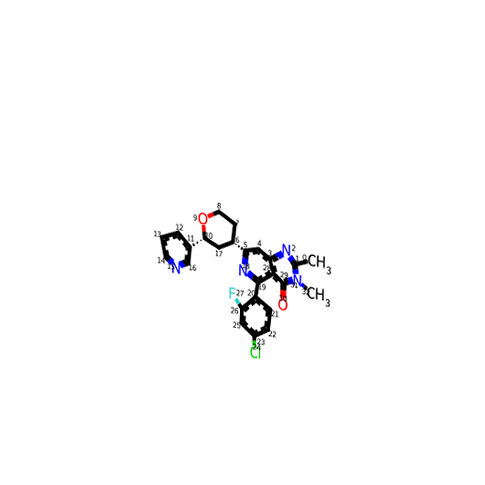 Cc1nc2cc([C@H]3CCO[C@@H](c4cccnc4)C3)nc(-c3ccc(Cl)cc3F)c2c(=O)n1C